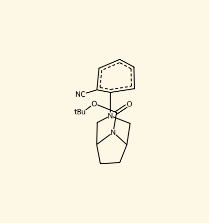 CC(C)(C)OC(=O)N1C2CCC1CN(c1ccccc1C#N)C2